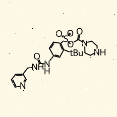 CC(C)(C)c1cc(NC(=O)NCc2cccnc2)ccc1S(=O)(=O)OC(=O)N1CCNCC1